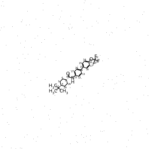 CC(C)(C)[C@H]1CC[C@H](C(=O)Nc2ccc(-c3ccc(OC(F)(F)F)cc3)cc2)CC1